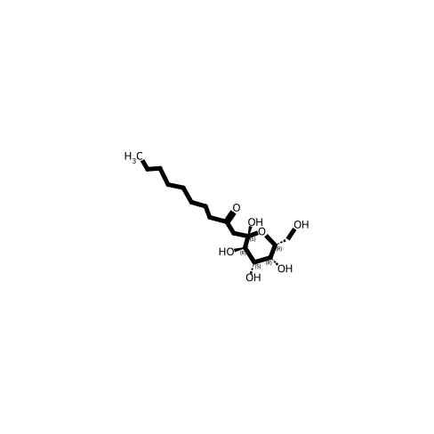 CCCCCCCCC(=O)C[C@]1(O)O[C@H](CO)[C@H](O)[C@H](O)[C@H]1O